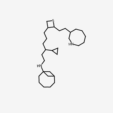 C1CCNCC(CCC2SCC2CCCC(CCNC23CCCCCC(C2)C3)C2CC2)CC1